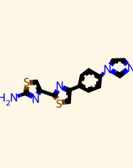 Nc1nc(-c2nc(-c3ccc(-n4ccnc4)cc3)cs2)cs1